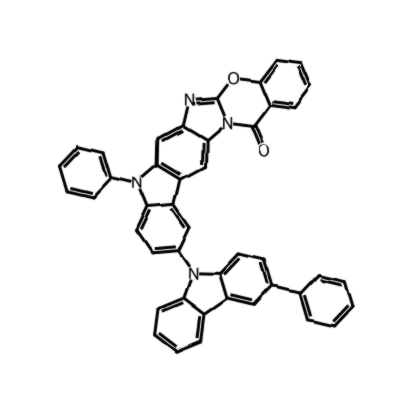 O=c1c2ccccc2oc2nc3cc4c(cc3n12)c1cc(-n2c3ccccc3c3cc(-c5ccccc5)ccc32)ccc1n4-c1ccccc1